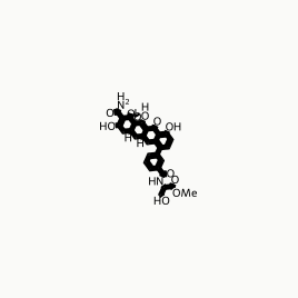 COC(=O)C(CO)NC(=O)c1cccc(-c2ccc(O)c3c2C[C@H]2C[C@H]4CC(O)=C(C(N)=O)C(=O)[C@@]4(OI)C(O)=C2C3=O)c1